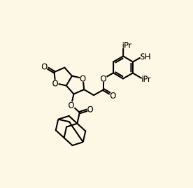 CC(C)c1cc(OC(=O)CC2OC3CC(=O)OC3C2OC(=O)C23CC4CC(CC(C4)C2)C3)cc(C(C)C)c1S